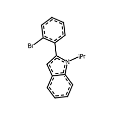 CC(C)n1c(-c2ccccc2Br)cc2ccccc21